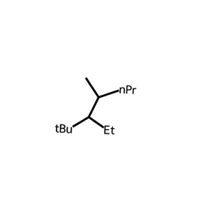 [CH2]C(C)(C)C(CC)C(C)CCC